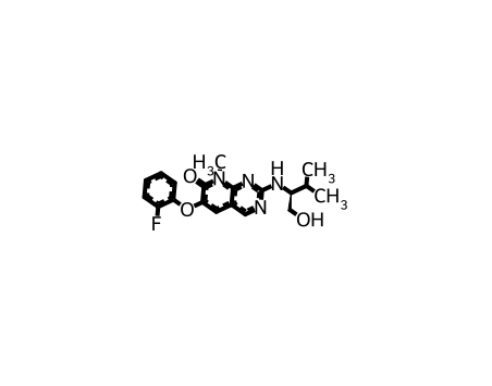 CC(C)[C@@H](CO)Nc1ncc2cc(Oc3ccccc3F)c(=O)n(C)c2n1